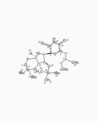 CC(=O)OCC(Cn1cc([C@@H]2O[C@@H]3CO[Si](C(C)(C)C)(C(C)(C)C)OC3[C@@H]2O[Si](C)(C)C(C)(C)C)c(=O)[nH]c1=O)OC(C)=O